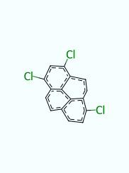 Clc1ccc2ccc3c(Cl)cc(Cl)c4ccc1c2c34